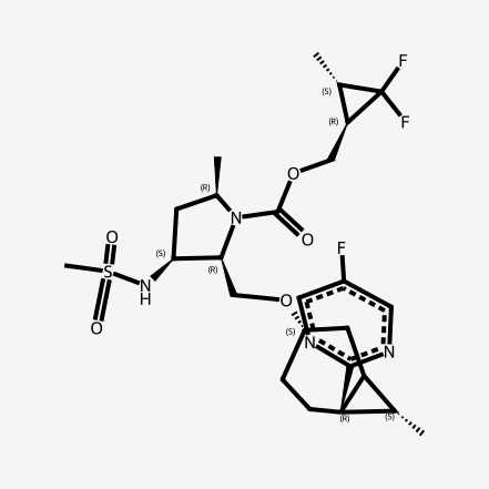 C[C@@H]1C[C@H](NS(C)(=O)=O)[C@H](CO[C@H]2CC[C@]3(c4ncc(F)cn4)C(C2)[C@@H]3C)N1C(=O)OC[C@H]1[C@H](C)C1(F)F